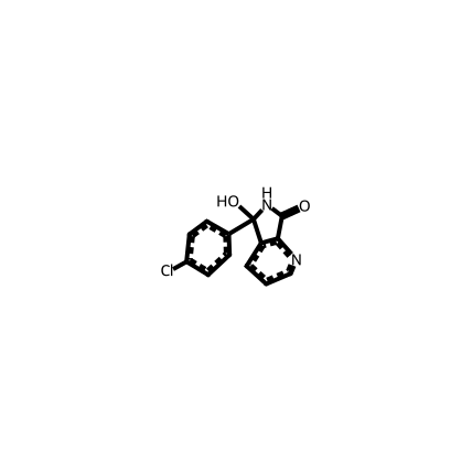 O=C1NC(O)(c2ccc(Cl)cc2)c2cccnc21